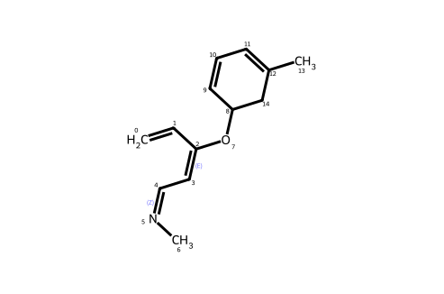 C=C/C(=C\C=N/C)OC1C=CC=C(C)C1